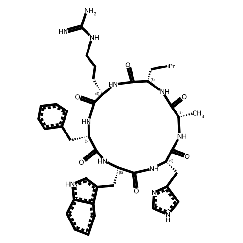 CC(C)C[C@@H]1NC(=O)[C@H](C)NC(=O)[C@H](Cc2c[nH]cn2)NC(=O)[C@H](Cc2c[nH]c3ccccc23)NC(=O)[C@H](Cc2ccccc2)NC(=O)[C@H](CCCNC(=N)N)NC1=O